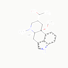 CO[C@]12C[C@@H](C(C)O)CN(C)[C@@H]1Cc1c[nH]c3cccc2c13